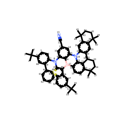 CC(C)(C)c1ccc(N2c3cc(C#N)cc4c3B(c3ccc5c6c3N4c3cc4c(cc3C6(C)CCC5(C)C)C(C)(C)CCC4(C)C)c3c2sc2ccc(C(C)(C)C)cc32)c(-c2ccccc2)c1